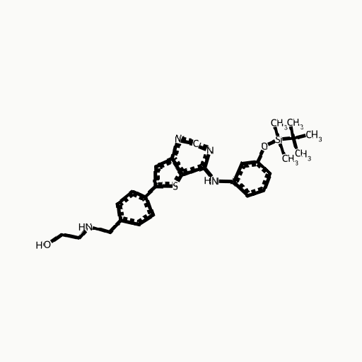 CC(C)(C)[Si](C)(C)Oc1cccc(Nc2ncnc3cc(-c4ccc(CNCCO)cc4)sc23)c1